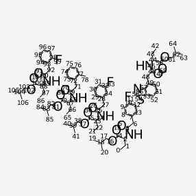 CCC(NC(=O)Cc1ccc(F)cc1)C(=O)OCC(C)C.CCC(NC(=O)Cc1cccc(F)c1)C(=O)OCC(C)C.CCC(NC(=O)Cc1cccc2scnc12)C(=O)OCC(C)C.CCC(NC(=O)Cc1ccccc1C)C(=O)OCC(C)C.CCC(NC(=O)Cc1ccccc1F)C(=O)OCC(C)C